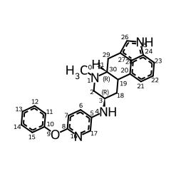 CN1C[C@H](Nc2ccc(Oc3ccccc3)nc2)CC2c3cccc4[nH]cc(c34)C[C@H]21